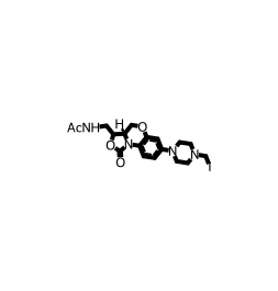 CC(=O)NCC1OC(=O)N2c3ccc(N4CCN(CI)CC4)cc3OC[C@@H]12